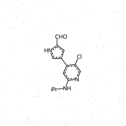 CC(C)Nc1cc(-c2c[nH]c(C=O)c2)c(Cl)cn1